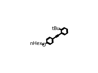 CCCCCCOc1ccc(C#Cc2ccccc2C(C)(C)C)cc1